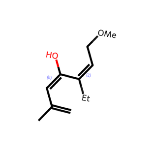 C=C(C)/C=C(O)\C(=C/COC)CC